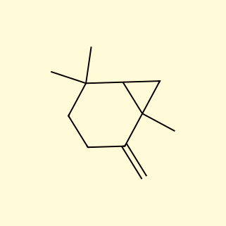 C=C1CCC(C)(C)C2CC12C